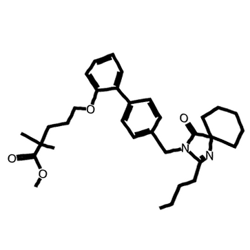 CCCCC1=NC2(CCCCC2)C(=O)N1Cc1ccc(-c2ccccc2OCCCC(C)(C)C(=O)OC)cc1